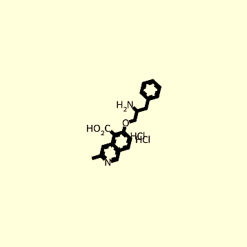 Cc1cc2c(C(=O)O)c(OCC(N)Cc3ccccc3)ccc2cn1.Cl.Cl